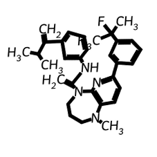 C=C(c1cccc(NC(=C)N2CCCN(C)c3ccc(-c4cccc(C(C)(C)F)c4)nc32)c1)C(C)C